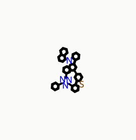 c1ccc(-c2nc(-c3ccccc3)nc(-c3cccc4sc5ccc(-c6ccc7c(c6)c6ccccc6n7-c6cccc7ccccc67)cc5c34)n2)cc1